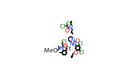 C#CCOc1cc(-n2nc3n(c2=O)CCCC3)c(Cl)cc1Cl.C=CCN(CC=C)C(=O)C(Cl)Cl.CCc1cccc(C)c1N(C(=O)CCl)C(C)COC